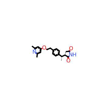 Cc1cc(OCCc2ccc([C@@H](C)[C@@H]3CC(=O)NC3=O)cc2)cc(C)n1